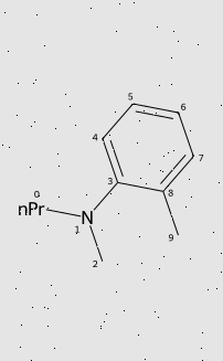 C[CH]CN(C)c1ccccc1C